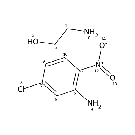 NCCO.Nc1cc(Cl)ccc1[N+](=O)[O-]